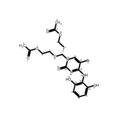 CC(=O)OCCO[C@H](CCOC(C)=O)n1cc(Br)c(Nc2c(O)cccc2O)nc1=O